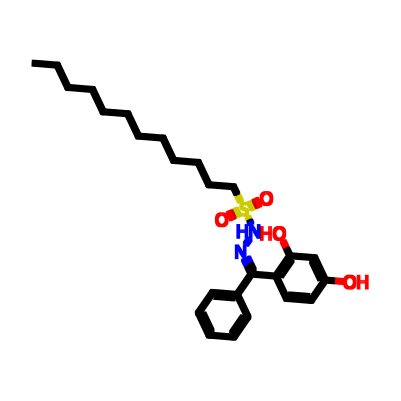 CCCCCCCCCCCCS(=O)(=O)NN=C(c1ccccc1)c1ccc(O)cc1O